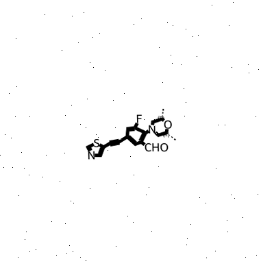 C[C@@H]1CN(c2c(F)cc(C#Cc3cncs3)cc2C=O)C[C@H](C)O1